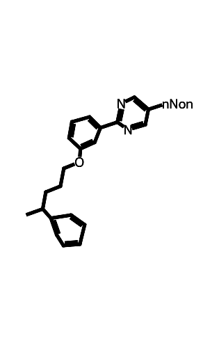 CCCCCCCCCc1cnc(-c2cccc(OCCCC(C)c3ccccc3)c2)nc1